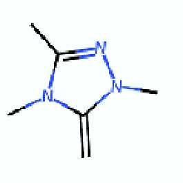 C=C1N(C)N=C(C)N1C